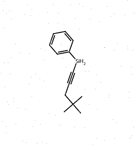 CC(C)(C)CC#C[SiH2]c1ccccc1